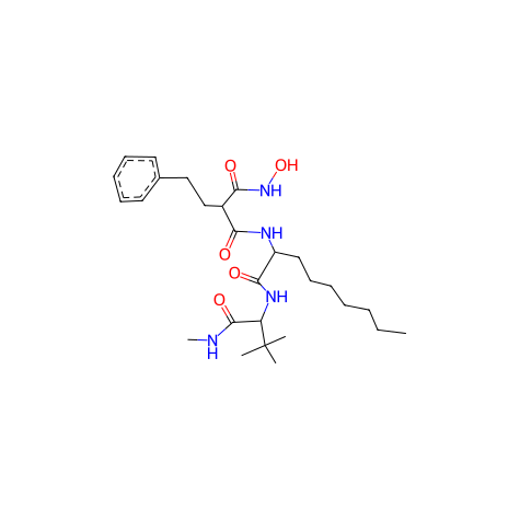 CCCCCCCC(NC(=O)C(CCc1ccccc1)C(=O)NO)C(=O)NC(C(=O)NC)C(C)(C)C